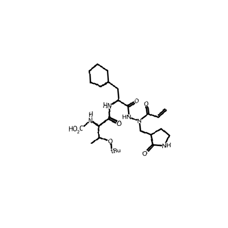 C=CC(=O)N(CC1CCNC1=O)NC(=O)C(CC1CCCCC1)NC(=O)C(NC(=O)O)C(C)OC(C)(C)C